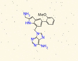 COc1ccccc1-c1cc(Cn2cnc3c(N)ncnc32)c2[nH]c(CN)cc2c1